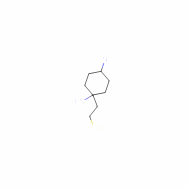 NC1CCC(N)(CCS)CC1